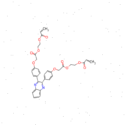 C=CC(=O)OCCOC(=O)COc1ccc(-c2nc3ccccc3nc2-c2ccc(OCC(=O)OCCOC(=O)C=C)cc2)cc1